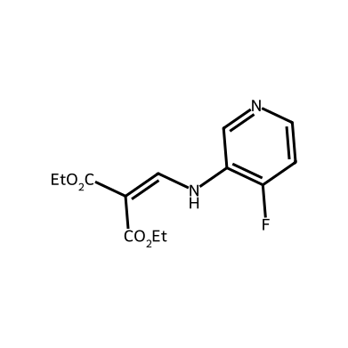 CCOC(=O)C(=CNc1cnccc1F)C(=O)OCC